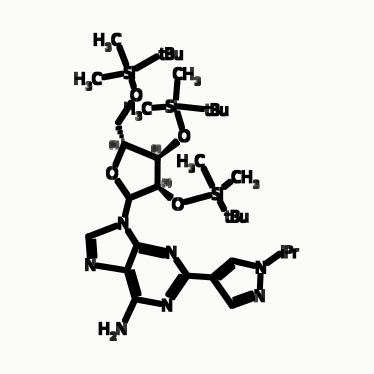 CC(C)n1cc(-c2nc(N)c3ncn(C4O[C@H](CO[Si](C)(C)C(C)(C)C)[C@@H](O[Si](C)(C)C(C)(C)C)[C@H]4O[Si](C)(C)C(C)(C)C)c3n2)cn1